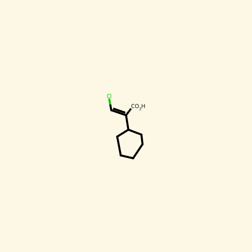 O=C(O)/C(=C\Cl)C1CCCCC1